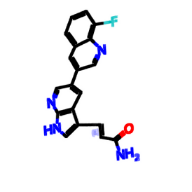 NC(=O)/C=C/c1c[nH]c2ncc(-c3cnc4c(F)cccc4c3)cc12